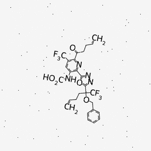 C=CCCC(=O)c1nc(-c2nnc(C(CCC=C)(OCc3ccccc3)C(F)(F)F)o2)c(NC(=O)O)cc1C(F)(F)F